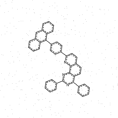 c1ccc(-c2nc(-c3ccccc3)c3ccc4ccc(-c5ccc(-c6c7ccccc7cc7ccccc67)cc5)nc4c3n2)cc1